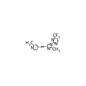 Cc1cc(C#Cc2cn(-c3nccc(C(F)(F)F)n3)c(C)n2)ccn1